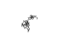 Cc1cc(S(N)(=O)=O)ccc1CCNc1nc(NCC(F)(F)F)c2nc(-c3ccc(F)cc3)ccc2n1